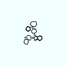 CN1CCN(c2nc3ccccc3n2C2CCN(C3(c4ccccc4)CCCCCC3)CC2)CC12CCCCC2